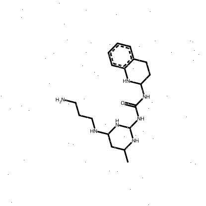 CC1CC(NCCCN)NC(NC(=O)NC2CCc3ccccc3N2)N1